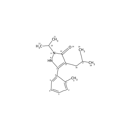 Cc1ccccc1-c1[nH]n(C(C)C)c(=O)c1CC(C)C